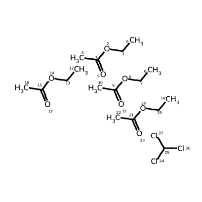 CCOC(C)=O.CCOC(C)=O.CCOC(C)=O.CCOC(C)=O.ClC(Cl)Cl